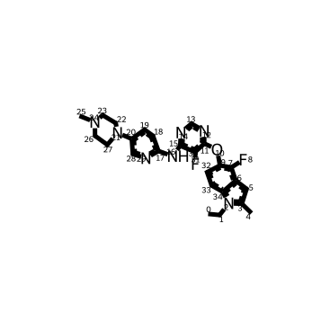 CCn1c(C)cc2c(F)c(Oc3ncnc(Nc4ccc(N5CCN(C)CC5)cn4)c3F)ccc21